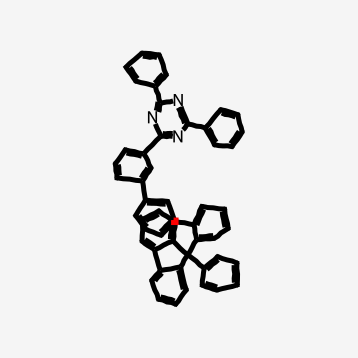 c1ccc(-c2nc(-c3ccccc3)nc(-c3cccc(-c4cccc(-c5ccccc5C5(c6ccccc6)c6ccccc6-c6ccccc65)c4)c3)n2)cc1